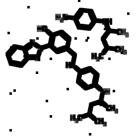 CC(C)CC(C)Nc1ccc(N)cc1.CC(C)CC(C)Nc1ccc(NCc2ccc(O)c(-n3nc4ccccc4n3)c2)cc1